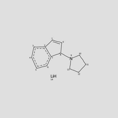 C1=Cc2ccccc2[C]1N1CCCC1.[LiH]